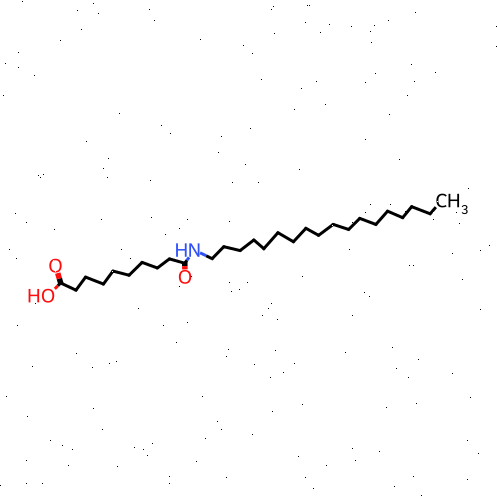 CCCCCCCCCCCCCCCCCCNC(=O)CCCCCCCCC(=O)O